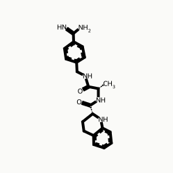 C[C@H](NC(=O)[C@H]1CCc2ccccc2N1)C(=O)NCc1ccc(C(=N)N)cc1